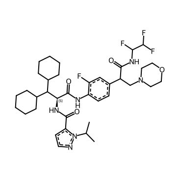 CC(C)n1nccc1C(=O)N[C@H](C(=O)Nc1ccc(C(CN2CCOCC2)C(=O)NC(F)C(F)F)cc1F)C(C1CCCCC1)C1CCCCC1